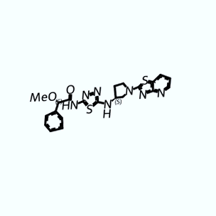 CO[C@H](C(=O)Nc1nnc(N[C@H]2CCN(c3nc4ncccc4s3)C2)s1)c1ccccc1